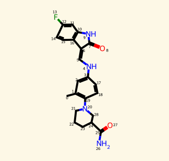 Cc1cc(N/C=C2\C(=O)Nc3cc(F)ccc32)ccc1N1CCCC(C(N)=O)C1